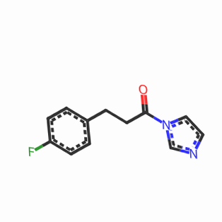 O=C(CCc1ccc(F)cc1)n1ccnc1